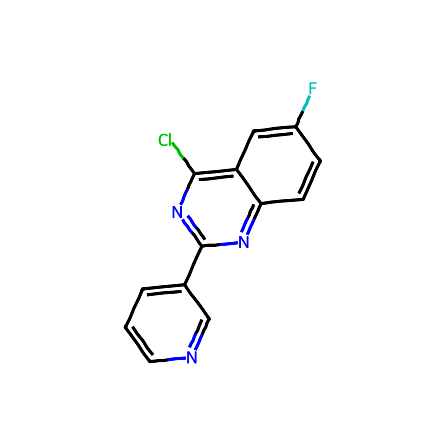 Fc1ccc2nc(-c3cccnc3)nc(Cl)c2c1